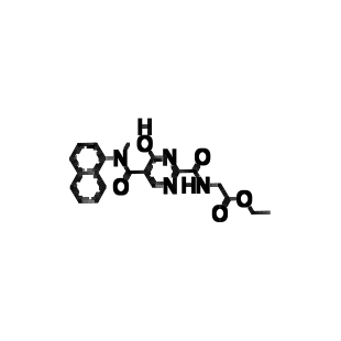 CCOC(=O)CNC(=O)c1ncc(C(=O)N(C)c2cccc3ccccc23)c(O)n1